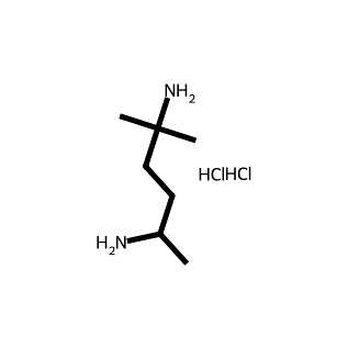 CC(N)CCC(C)(C)N.Cl.Cl